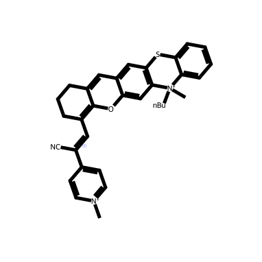 CCCC[N+]1(C)c2ccccc2Sc2cc3c(cc21)OC1=C(/C=C(\C#N)c2cc[n+](C)cc2)CCCC1=C3